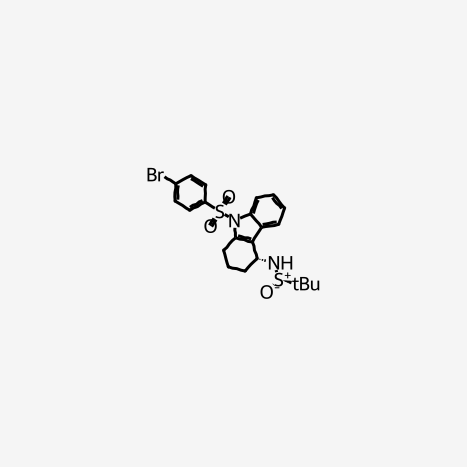 CC(C)(C)[S@@+]([O-])N[C@@H]1CCCc2c1c1ccccc1n2S(=O)(=O)c1ccc(Br)cc1